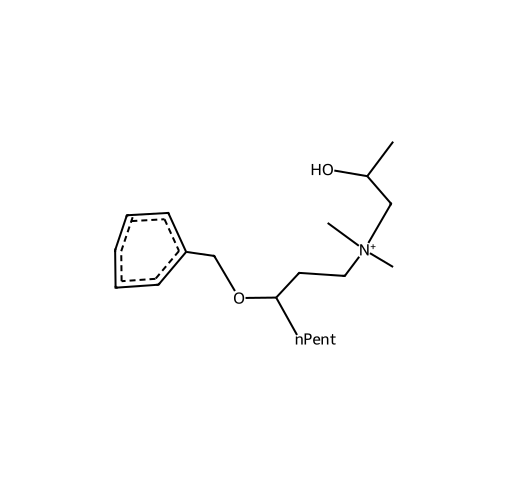 CCCCCC(CC[N+](C)(C)CC(C)O)OCc1ccccc1